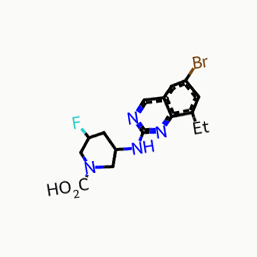 CCc1cc(Br)cc2cnc(NC3CC(F)CN(C(=O)O)C3)nc12